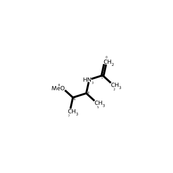 C=C(C)NC(C)C(C)OC